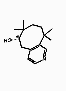 CC1(C)CCC(C)(C)[C@@H](O)Cc2ccncc21